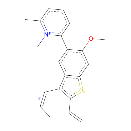 C=Cc1sc2cc(OC)c(-c3cccc(C)[n+]3C)cc2c1/C=C\C